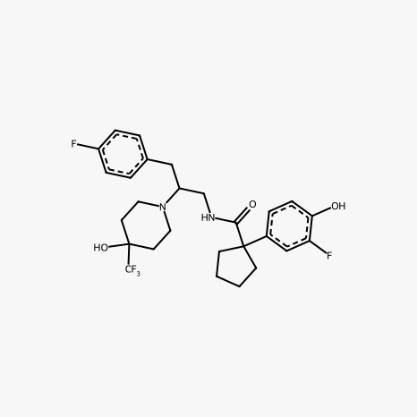 O=C(NCC(Cc1ccc(F)cc1)N1CCC(O)(C(F)(F)F)CC1)C1(c2ccc(O)c(F)c2)CCCC1